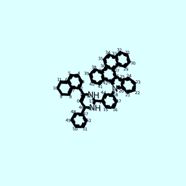 C1=C(c2cccc3c2=CCCC=3)NC(c2cccc(-n3c4ccccc4c4c5c6ccccc6ccc5c5ccccc5c43)c2)NC1c1ccccc1